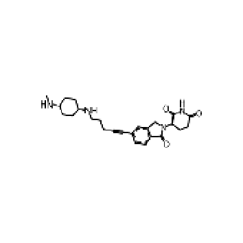 CN[C@H]1CC[C@@H](NCCCC#Cc2ccc3c(c2)CN(C2CCC(=O)NC2=O)C3=O)CC1